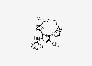 CC(C)(C)OC(=O)Nc1cc(C(F)(F)F)c2nc1-c1nnc(o1)C(O)CCCCC[C@@H]1CCCN21